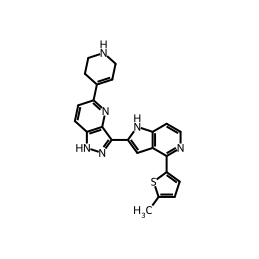 Cc1ccc(-c2nccc3[nH]c(-c4n[nH]c5ccc(C6=CCNCC6)nc45)cc23)s1